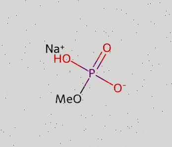 COP(=O)([O-])O.[Na+]